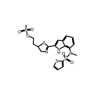 CN(c1cccc2cc(C3=NCC(CCOS(C)(=O)=O)S3)[nH]c12)S(=O)(=O)c1cccs1